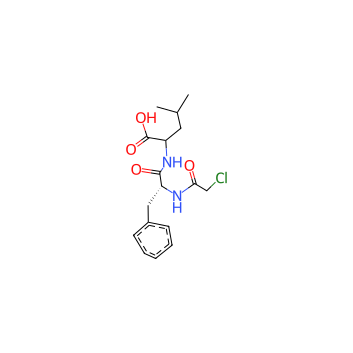 CC(C)CC(NC(=O)[C@@H](Cc1ccccc1)NC(=O)CCl)C(=O)O